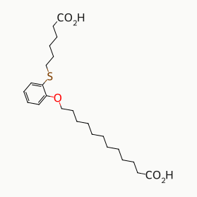 O=C(O)CCCCCCCCCCCOc1ccccc1SCCCCCC(=O)O